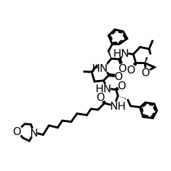 CC(C)CC(NC(=O)[C@H](CCc1ccccc1)NC(=O)CCCCCCCCCN1CCOCC1)C(=O)N[C@@H](Cc1ccccc1)C(=O)NC(CC(C)C)C(=O)[C@]1(C)CO1